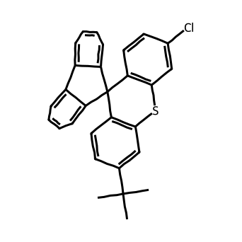 CC(C)(C)c1ccc2c(c1)Sc1cc(Cl)ccc1C21c2ccccc2-c2ccccc21